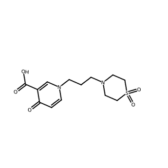 O=C(O)c1cn(CCCN2CCS(=O)(=O)CC2)ccc1=O